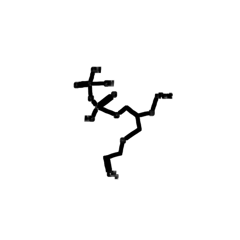 C=CCOCC(COP(=O)(O)OP(=O)(O)O)OCCCCC